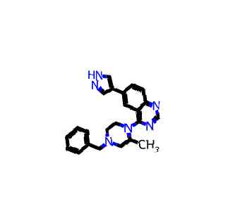 CC1CN(Cc2ccccc2)CCN1c1ncnc2ccc(-c3cn[nH]c3)cc12